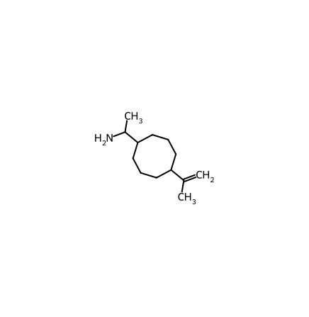 C=C(C)C1CCCC(C(C)N)CCC1